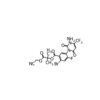 CC(C)(OC(=O)c1cc(-n2c(=O)cc(C(F)(F)F)n(N)c2=O)c(F)cc1Br)C(=O)OCC#N